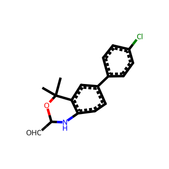 CC1(C)OC(C=O)Nc2ccc(-c3ccc(Cl)cc3)cc21